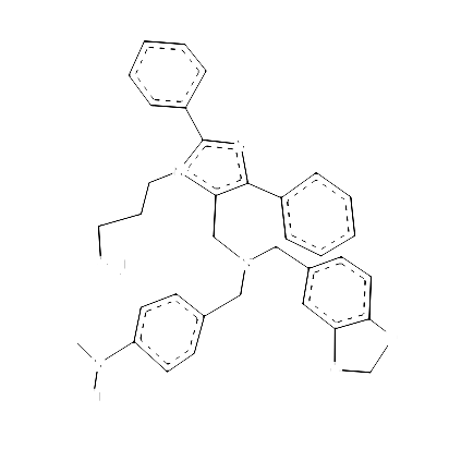 CCOC(=O)CCCn1c(-c2ccccc2)nc(-c2ccccc2)c1CN(Cc1ccc(N(C)C)cc1)Cc1ccc2c(c1)OCO2